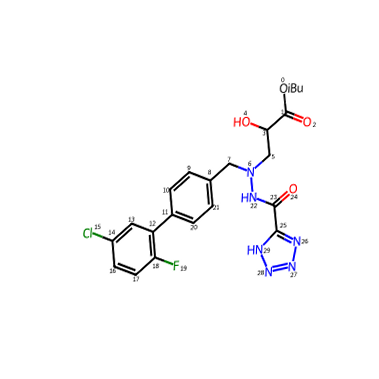 CC(C)COC(=O)C(O)CN(Cc1ccc(-c2cc(Cl)ccc2F)cc1)NC(=O)c1nnn[nH]1